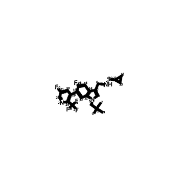 CC(C)(C)Cn1cc(CNSC2CC2)c2cc(F)c(-c3cc(F)cnc3C(F)(F)F)cc21